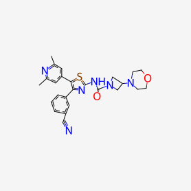 Cc1cc(-c2sc(NC(=O)N3CC(N4CCOCC4)C3)nc2-c2cccc(C#N)c2)cc(C)n1